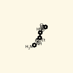 CCc1cc(-c2ccc(NS(=O)(=O)c3ccccc3Cl)cc2)cc2cnc(NC3CCC(N)CC3)nc12